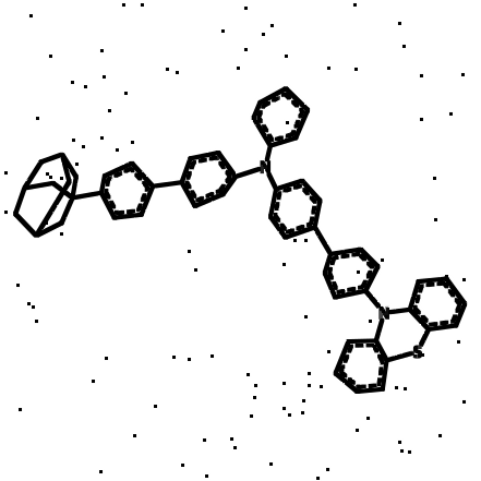 c1ccc(N(c2ccc(-c3ccc(N4c5ccccc5Sc5ccccc54)cc3)cc2)c2ccc(-c3ccc(C45CC6CC(CC(C6)C4)C5)cc3)cc2)cc1